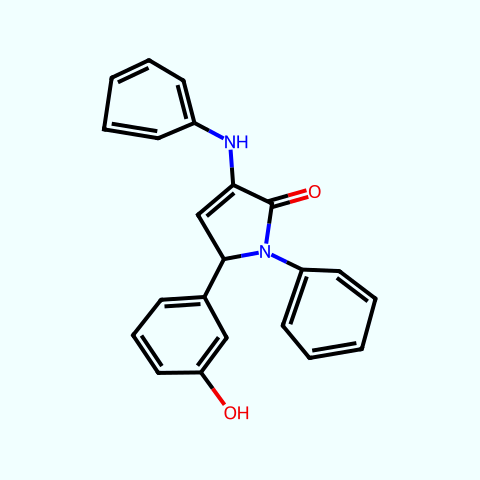 O=C1C(Nc2ccccc2)=CC(c2cccc(O)c2)N1c1ccccc1